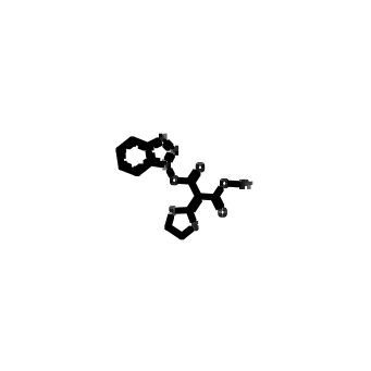 CC(C)OC(=O)C(C(=O)On1nnc2ccccc21)=C1SCCS1